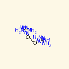 Nc1n[nH]c(N)c1/N=N/c1cccc(/C=C/c2cccc(/N=N/c3c(N)n[nH]c3N)c2)c1